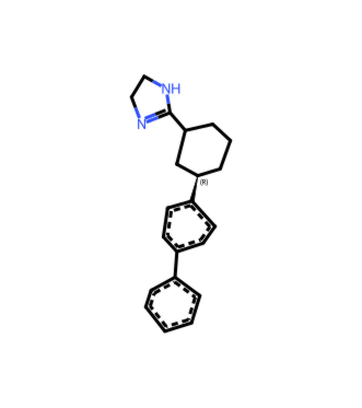 c1ccc(-c2ccc([C@@H]3CCCC(C4=NCCN4)C3)cc2)cc1